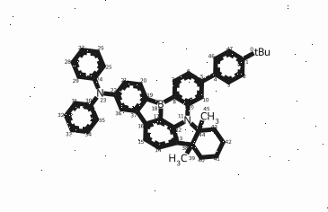 CC(C)(C)c1ccc(-c2ccc3c(c2)N2c4c(ccc5c4B3c3ccc(N(c4ccccc4)c4ccccc4)cc3-5)C3(C)CCCCC23C)cc1